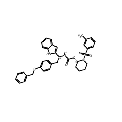 O=C(N[C@@H](Cc1ccc(OCc2ccccc2)cc1)c1nc2ccccc2[nH]1)O[C@H]1CCCCN1S(=O)(=O)c1cccc(C(F)(F)F)c1